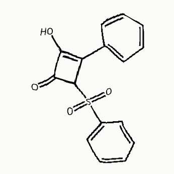 O=C1C(O)=C(c2ccccc2)C1S(=O)(=O)c1ccccc1